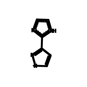 C1=CC(c2ncc[nH]2)=N[N]1